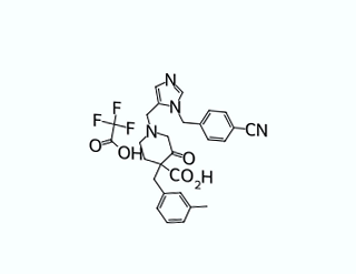 Cc1cccc(CC2(C(=O)O)CCN(Cc3cncn3Cc3ccc(C#N)cc3)CC2=O)c1.O=C(O)C(F)(F)F